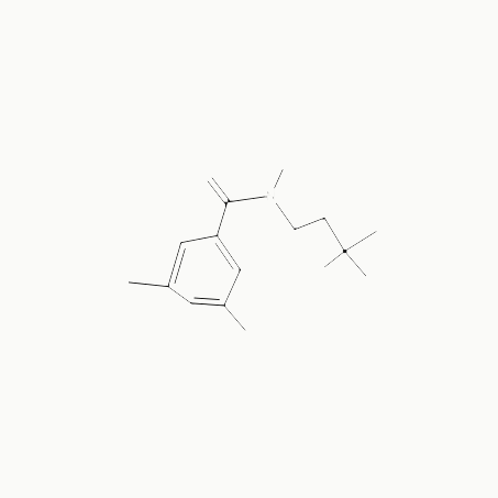 Cc1cc(F)cc(C(=O)N(C)CCC(C)(C)C)c1